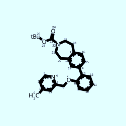 Cc1ccnc(COc2ccccc2-c2ccc3c(c2)CCN(C(=O)OC(C)(C)C)CC3)c1